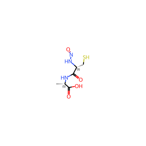 C[C@H](NC(=O)[C@@H](CS)NN=O)C(=O)O